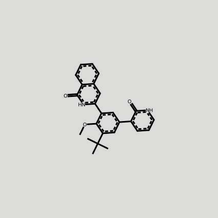 COc1c(-c2cc3ccccc3c(=O)[nH]2)cc(-c2ccc[nH]c2=O)cc1C(C)(C)C